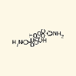 Nc1ccc(C(=O)OC(=O)C(O)C(O)C(=O)OC(=O)c2ccc(N)cc2)cc1